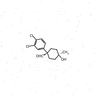 C[C@]1(O)CC[C@](C=O)(c2ccc(Cl)c(Cl)c2)CC1